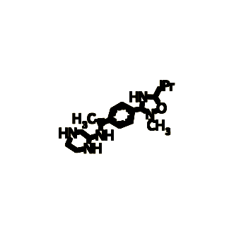 CC(C)C1NC(c2ccc([C@@H](C)NC3CNCCN3)cc2)N(C)O1